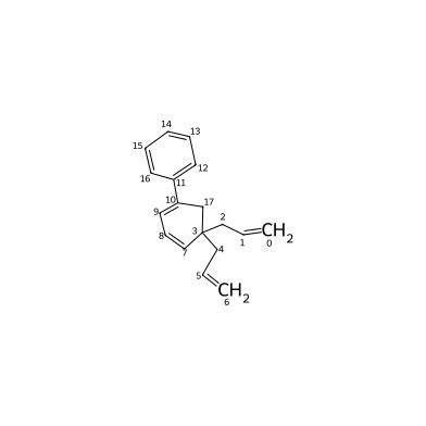 C=CCC1(CC=C)C=CC=C(c2ccccc2)C1